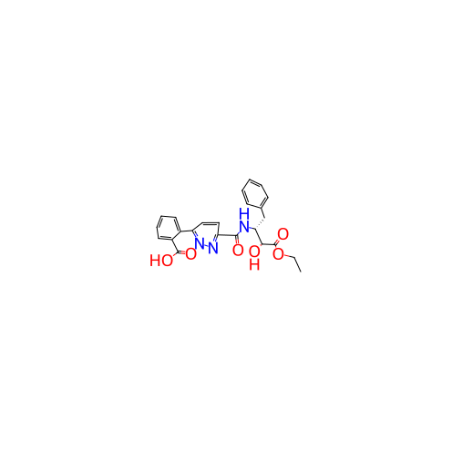 CCOC(=O)[C@H](O)[C@@H](Cc1ccccc1)NC(=O)c1ccc(-c2ccccc2C(=O)O)nn1